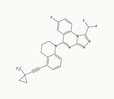 Fc1ccc2c(c1)c(N1CCCc3c(C#CC4(C(F)(F)F)CC4)cccc31)nc1nnc(C(F)F)n12